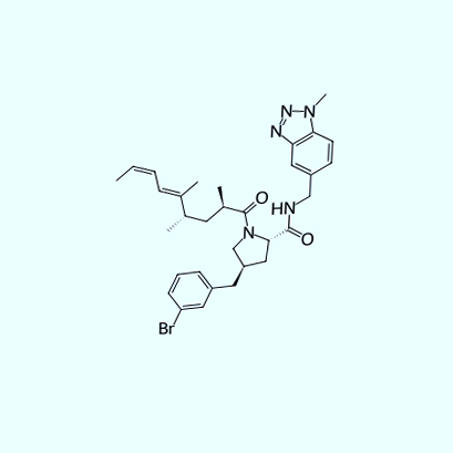 C/C=C\C=C(/C)[C@@H](C)C[C@@H](C)C(=O)N1C[C@H](Cc2cccc(Br)c2)C[C@H]1C(=O)NCc1ccc2c(c1)nnn2C